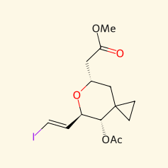 COC(=O)C[C@@H]1CC2(CC2)[C@H](OC(C)=O)[C@@H](/C=C/I)O1